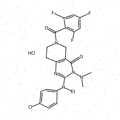 CCN(c1ccc(Cl)cc1)c1nc2c(c(=O)n1N(C)C)CN(C(=O)c1c(F)cc(F)cc1F)CC2.Cl